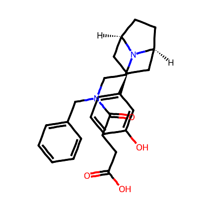 O=C(O)CCC(=O)N(CCN1[C@@H]2CC[C@H]1C[C@@H](c1cccc(O)c1)C2)Cc1ccccc1